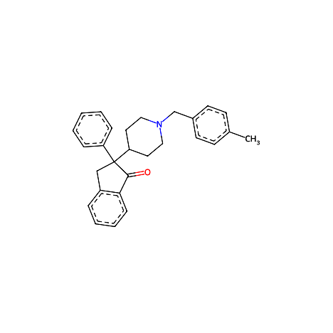 Cc1ccc(CN2CCC(C3(c4ccccc4)Cc4ccccc4C3=O)CC2)cc1